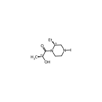 CC[C@H]1CN(I)CCN1C(=O)[C@H](C)O